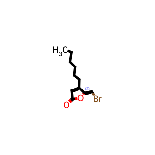 CCCCCCC1=CC(=O)O/C1=C\Br